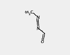 [CH2]N=NC=O